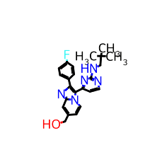 CC(C)(C)CNc1nccc(-c2c(-c3ccc(F)cc3)nc3cc(CO)ccn23)n1